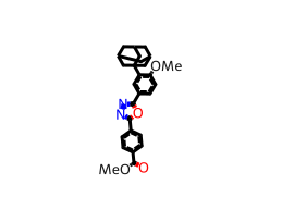 COC(=O)c1ccc(-c2nnc(-c3ccc(OC)c(C45CC6CC(CC(C6)C4)C5)c3)o2)cc1